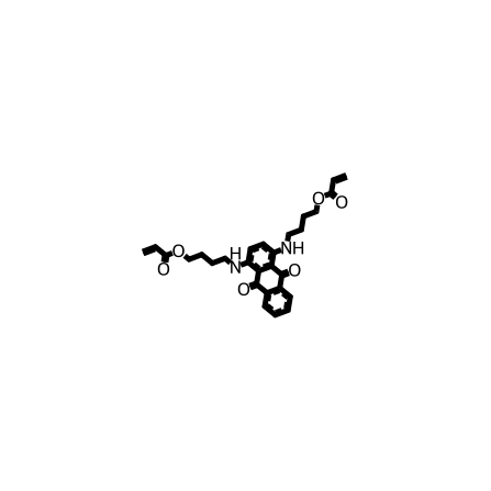 C=CC(=O)OCCCCNc1ccc(NCCCCOC(=O)C=C)c2c1C(=O)c1ccccc1C2=O